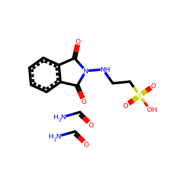 NC=O.NC=O.O=C1c2ccccc2C(=O)N1NCCS(=O)(=O)O